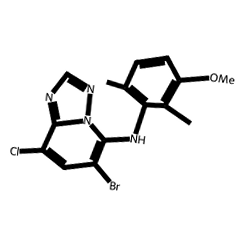 COc1ccc(C)c(Nc2c(Br)cc(Cl)c3ncnn23)c1C